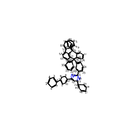 C1=C(c2ccccc2)CCC(c2cc(-c3ccccc3)nc(-c3cccc(C4(c5ccccc5)c5ccccc5C5(c6ccccc6)c6ccccc6-c6cccc4c65)c3)n2)=C1